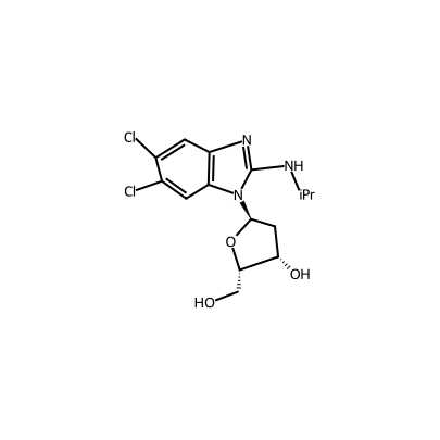 CC(C)Nc1nc2cc(Cl)c(Cl)cc2n1[C@H]1C[C@H](O)[C@H](CO)O1